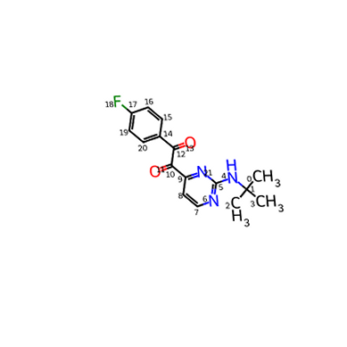 CC(C)(C)Nc1nccc(C(=O)C(=O)c2ccc(F)cc2)n1